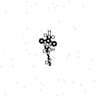 C=CC(=O)OCCCOC(=O)[C@@]1(O)CC2O[C@]1(C)n1c3ccccc3c3c4c(c5c6ccccc6n2c5c31)C(=O)NC4=O